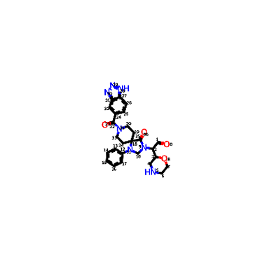 O=CC(C1CNCCO1)N1CN(c2ccccc2)C2(CCN(C(=O)c3ccc4[nH]nnc4c3)CC2)C1=O